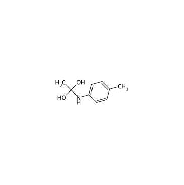 Cc1ccc(NC(C)(O)O)cc1